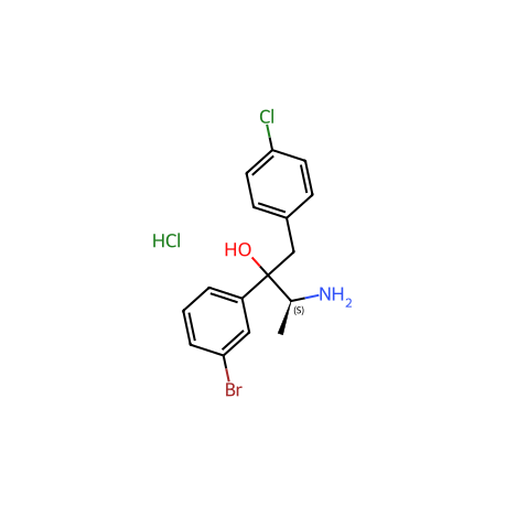 C[C@H](N)C(O)(Cc1ccc(Cl)cc1)c1cccc(Br)c1.Cl